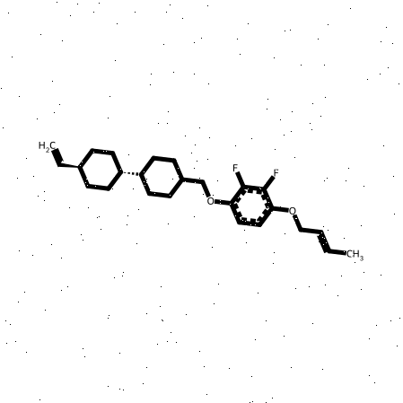 C=C[C@H]1CC[C@H](C2CCC(COc3ccc(OC/C=C/C)c(F)c3F)CC2)CC1